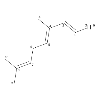 [2H]/C=C/C(C)=CCC=C(C)C